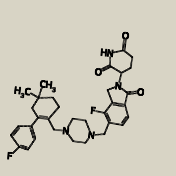 CC1(C)CCC(CN2CCN(Cc3ccc4c(c3F)CN(C3CCC(=O)NC3=O)C4=O)CC2)=C(c2ccc(F)cc2)C1